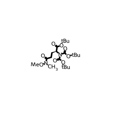 CON(C)C(=O)CC[C@@H](C(=O)OC(C)(C)C)N(C(=O)OC(C)(C)C)C(=O)OC(C)(C)C